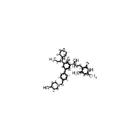 CCN(c1cc(-c2ccc(CN3CCC(O)CC3)cc2)cc(C(O)NCc2c(C)cc(C)[nH]c2=O)c1C)C1CCOCC1